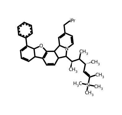 C/C(=C\[C@@H](C)C(C)[C@@H](C)C1C2C=CC3=C(OC4C(c5ccccc5)=CC=CC34)C2C2C=C(CC(C)C)C=CN21)[Si](C)(C)C